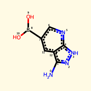 Nc1n[nH]c2ncc(B(O)O)cc12